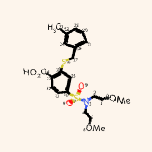 COCCN(CCOC)S(=O)(=O)c1ccc(C(=O)O)c(SCc2cccc(C)c2)c1